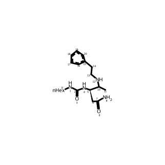 CCCCCCNC(=O)N[C@H](CC(N)=O)C(C)NCCc1ccccc1